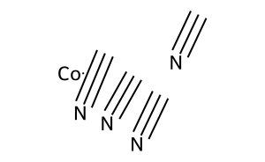 C#N.C#N.C#N.C#N.[Co]